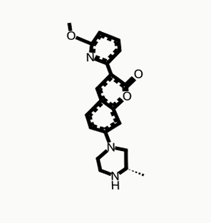 COc1cccc(-c2cc3ccc(N4CCN[C@@H](C)C4)cc3oc2=O)n1